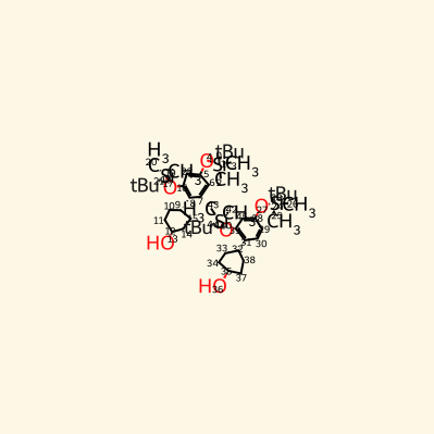 CC(C)(C)[Si](C)(C)Oc1ccc([C@H]2CC[C@@H](O)CC2)c(O[Si](C)(C)C(C)(C)C)c1.CC(C)(C)[Si](C)(C)Oc1ccc([C@H]2CC[C@H](O)CC2)c(O[Si](C)(C)C(C)(C)C)c1